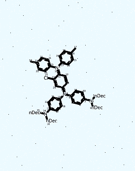 CCCCCCCCCCN(CCCCCCCCCC)c1ccc([N+](=C2C=CC(=[N+](c3ccc(C)cc3)c3ccc(C)cc3)C(Cl)=C2)c2ccc(N(CCCCCCCCCC)CCCCCCCCCC)cc2)cc1